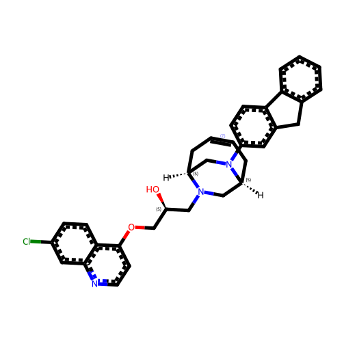 O[C@H](COc1ccnc2cc(Cl)ccc12)CN1C[C@@H]2C/C=C\C[C@H]1CN2c1ccc2c(c1)Cc1ccccc1-2